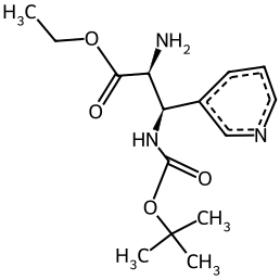 CCOC(=O)[C@@H](N)[C@H](NC(=O)OC(C)(C)C)c1cccnc1